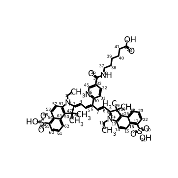 CCN1/C(=C/C=C(/C=C/C2=[N+](CC)c3ccc4c(S(=O)(=O)O)cccc4c3C2(C)C)c2ccc(C(=O)NCCCCCC(=O)O)cn2)C(C)(C)c2c1ccc1c(S(=O)(=O)O)cccc21